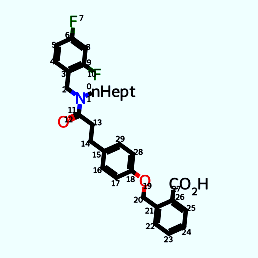 CCCCCCCN(Cc1ccc(F)cc1F)C(=O)CCc1ccc(OCc2ccccc2C(=O)O)cc1